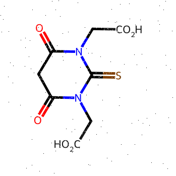 O=C(O)CN1C(=O)CC(=O)N(CC(=O)O)C1=S